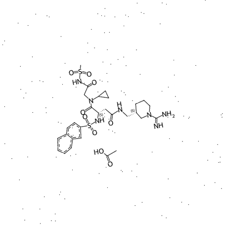 CC(=O)O.CS(=O)(=O)NC(=O)CN(C(=O)[C@H](CC(=O)NC[C@@H]1CCCN(C(=N)N)C1)NS(=O)(=O)c1ccc2ccccc2c1)C1CC1